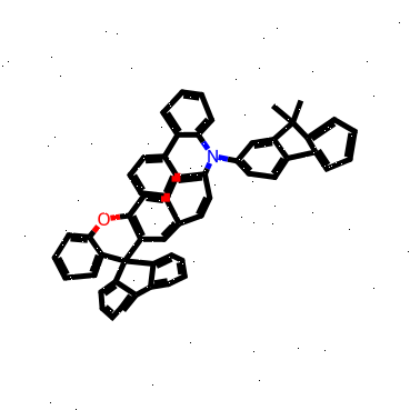 CC1(C)c2ccccc2-c2ccc(N(c3ccc4cc5c(cc4c3)Oc3ccccc3C53c4ccccc4-c4ccccc43)c3ccccc3-c3ccccc3)cc21